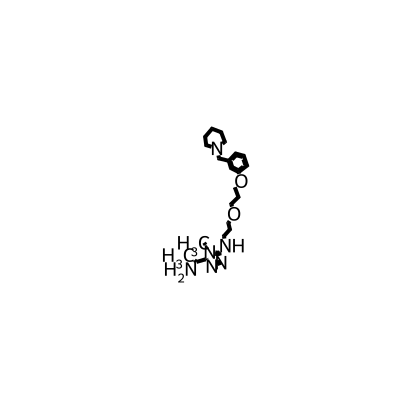 CC(N)c1nnc(NCCCOCCCOc2cccc(CN3CCCCC3)c2)n1C